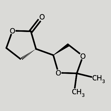 CC1(C)OC[C@H]([C@@H]2CCOC2=O)O1